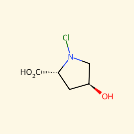 O=C(O)[C@H]1C[C@H](O)CN1Cl